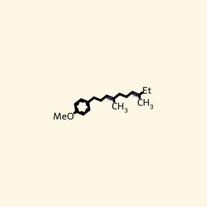 CC/C(C)=C/CC/C(C)=C/CCc1ccc(OC)cc1